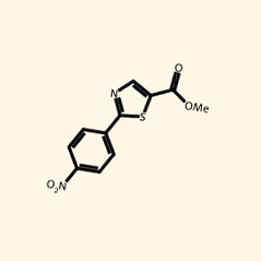 COC(=O)c1cnc(-c2ccc([N+](=O)[O-])cc2)s1